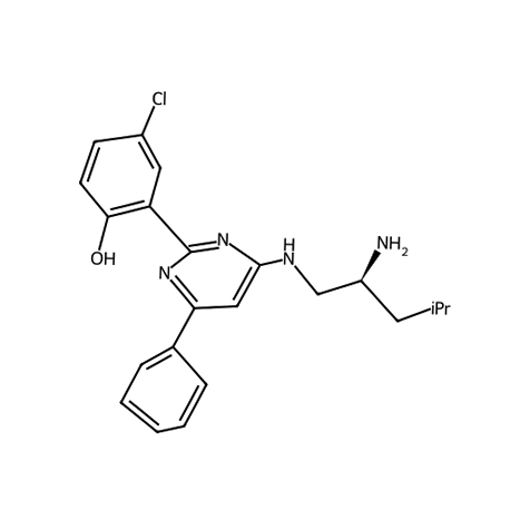 CC(C)C[C@H](N)CNc1cc(-c2ccccc2)nc(-c2cc(Cl)ccc2O)n1